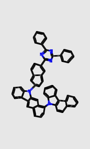 c1ccc(-c2nc(-c3ccccc3)nc(-c3ccc4cc(-n5c6ccccc6c6cc7cccc(-n8c9ccccc9c9c%10ccccc%10ccc98)c7cc65)ccc4c3)n2)cc1